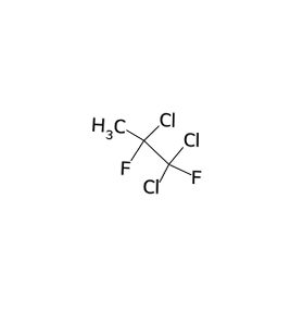 CC(F)(Cl)C(F)(Cl)Cl